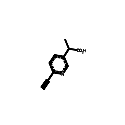 C#Cc1ccc(C(C)C(=O)O)cn1